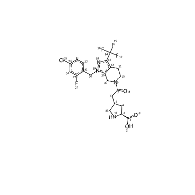 O=C(O)[C@@H]1CC(CC(=O)N2CCc3c(C(F)(F)F)nn(Cc4ccc(Cl)cc4F)c3C2)CN1